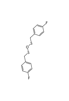 Fc1ccc(CSOSCc2ccc(F)cc2)cc1